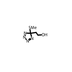 CSC1(CCO)N=NN=N1